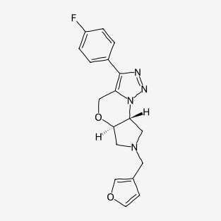 Fc1ccc(-c2nnn3c2CO[C@@H]2CN(Cc4ccoc4)C[C@H]23)cc1